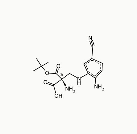 CC(C)(C)OC(=O)[C@](N)(CNc1cc(C#N)ccc1N)C(=O)O